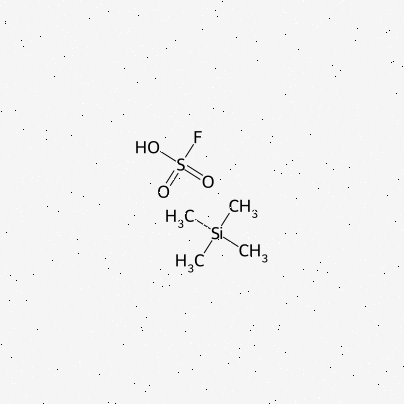 C[Si](C)(C)C.O=S(=O)(O)F